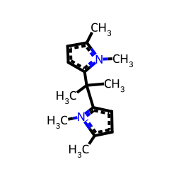 Cc1ccc(C(C)(C)c2ccc(C)n2C)n1C